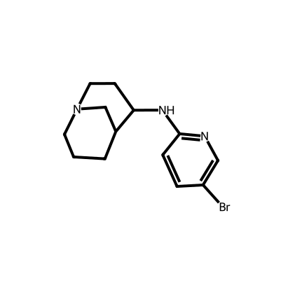 Brc1ccc(NC2CCN3CCCC2C3)nc1